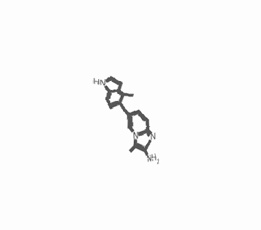 Cc1c(-c2ccc3nc(N)c(C)n3c2)ccc2[nH]ccc12